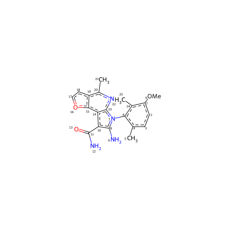 COc1ccc(C)c(-n2c(N)c(C(N)=O)c3c4occc4c(C)nc32)c1C